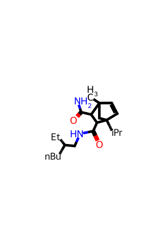 CCCCC(CC)CNC(=O)C1C(C(N)=O)C2(C)C=CC1(C(C)C)C2